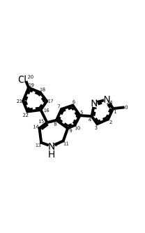 Cc1ccc(-c2ccc3c(c2)CNCC=C3c2ccc(Cl)cc2)nn1